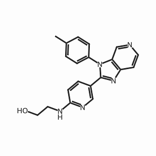 Cc1ccc(-n2c(-c3ccc(NCCO)nc3)nc3ccncc32)cc1